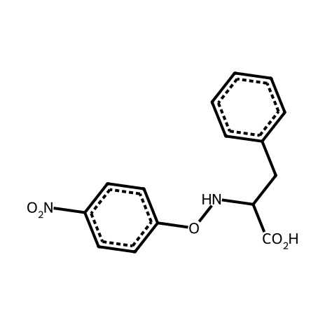 O=C(O)C(Cc1ccccc1)NOc1ccc([N+](=O)[O-])cc1